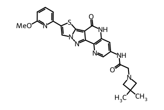 COc1cccc(-c2cn3nc4c5ncc(NC(=O)CN6CC(C)(C)C6)cc5[nH]c(=O)c4c3s2)n1